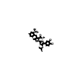 COC(=O)c1c(Cc2ccccc2[N+](=O)[O-])c(C)nn1-c1nc(-c2ccc(Cl)c(Cl)c2)c(SC(C)C)s1